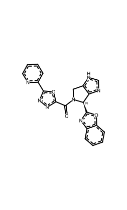 O=C(c1nnc(-c2ccccn2)o1)N1Cc2[nH]cnc2[C@H]1c1nc2ccccc2o1